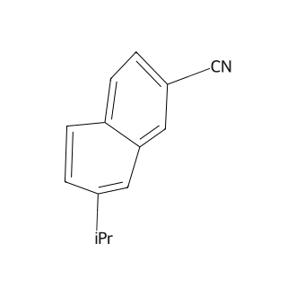 CC(C)c1ccc2ccc(C#N)cc2c1